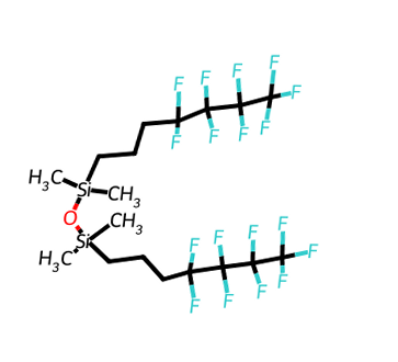 C[Si](C)(CCCC(F)(F)C(F)(F)C(F)(F)C(F)(F)F)O[Si](C)(C)CCCC(F)(F)C(F)(F)C(F)(F)C(F)(F)F